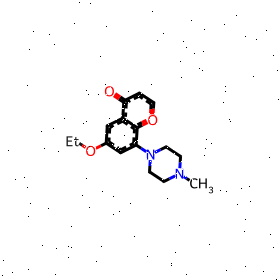 CCOc1cc(N2CCN(C)CC2)c2occc(=O)c2c1